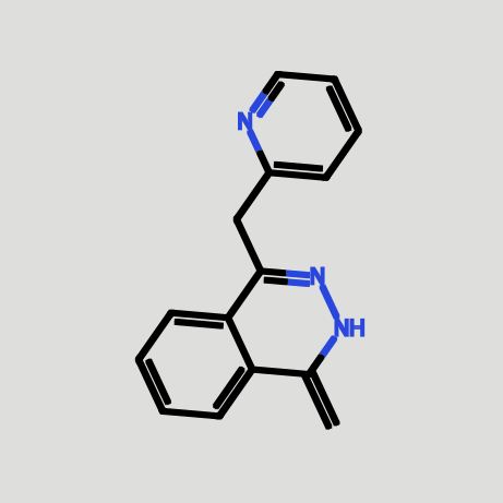 C=C1NN=C(Cc2ccccn2)c2ccccc21